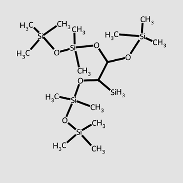 C[Si](C)(C)OC(O[Si](C)(C)O[Si](C)(C)C)[C]([SiH3])O[Si](C)(C)O[Si](C)(C)C